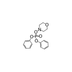 O=P(Oc1ccccc1)(Oc1ccccc1)ON1CCOCC1